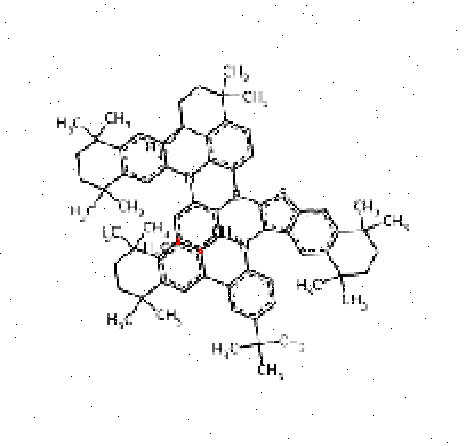 Cc1cc2c3c(c1)N(c1ccc(C(C)(C)C)cc1-c1cc4c(cc1C)C(C)(C)CCC4(C)C)c1c(sc4cc5c(cc14)C(C)(C)CCC5(C)C)B3c1ccc3c4c1N2c1cc2c(cc1C4(C)CCC3(C)C)C(C)(C)CCC2(C)C